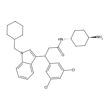 N[C@H]1CC[C@H](NC(=O)CC(c2cc(Cl)cc(Cl)c2)c2cn(CC3CCCCC3)c3ccccc23)CC1